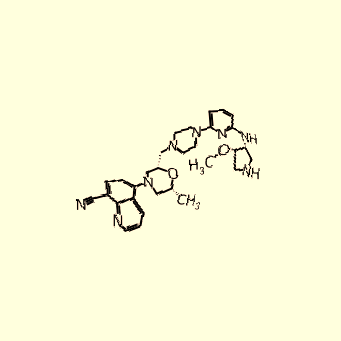 CO[C@H]1CNC[C@H]1Nc1cccc(N2CCN(C[C@H]3CN(c4ccc(C#N)c5ncccc45)C[C@@H](C)O3)CC2)n1